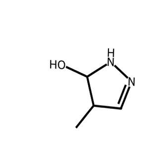 CC1C=NNC1O